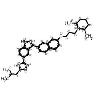 CC(C)Cc1nnc(-c2ccc3[nH]nc(-c4ccc5ccc(OCCCN6[C@H](C)CCC[C@@H]6C)cc5c4)c3c2)[nH]1